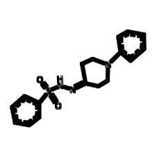 O=S(=O)(NN=C1CCN(c2ccccc2)CC1)c1ccccc1